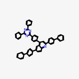 c1ccc(-c2ccc(-c3ccc4nc(-c5ccc(-c6ccccc6)cc5)cc(-c5ccc(-c6nc(-c7ccccc7)nc(-c7ccccc7)n6)cc5)c4c3)cc2)cc1